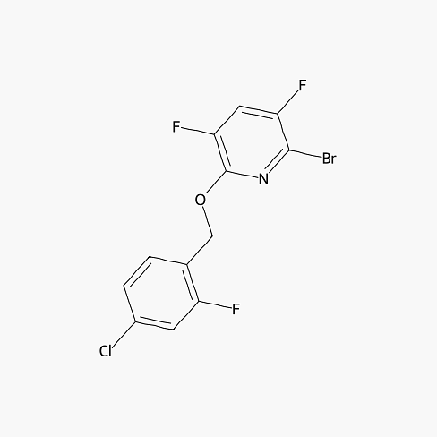 Fc1cc(Cl)ccc1COc1nc(Br)c(F)cc1F